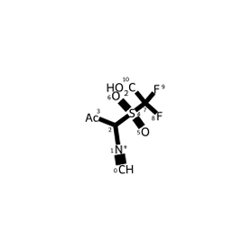 C#[N+]C(C(C)=O)S(=O)(=O)C(F)(F)C(=O)O